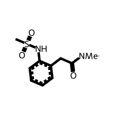 C[N]C(=O)Cc1ccccc1NS(C)(=O)=O